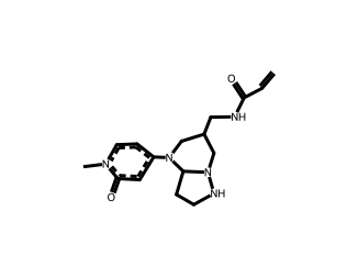 C=CC(=O)NCC1CN2NCCC2N(c2ccn(C)c(=O)c2)C1